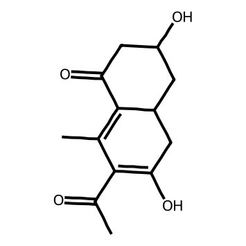 CC(=O)C1=C(O)CC2CC(O)CC(=O)C2=C1C